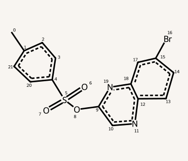 Cc1ccc(S(=O)(=O)Oc2cnc3ccc(Br)cc3n2)cc1